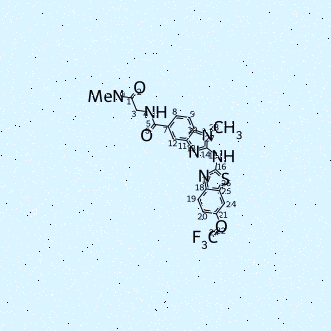 CNC(=O)CNC(=O)c1ccc2c(c1)nc(Nc1nc3ccc(OC(F)(F)F)cc3s1)n2C